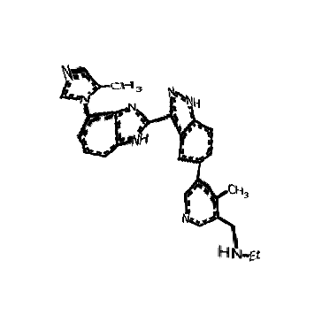 CCNCc1cncc(-c2ccc3[nH]nc(-c4nc5c(-n6cncc6C)cccc5[nH]4)c3c2)c1C